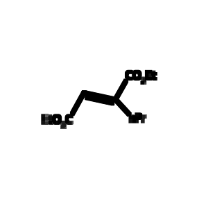 CCC/C(=C\C(=O)OCC)C(=O)OCC